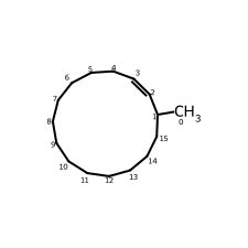 CC1C=CCCCCCCCCCCCC1